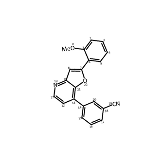 COc1ccccc1-c1cc2nccc(-c3cccc(C#N)c3)c2o1